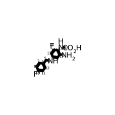 Nc1cc(NCc2ccc(F)cc2)cc(F)c1NC(=O)O